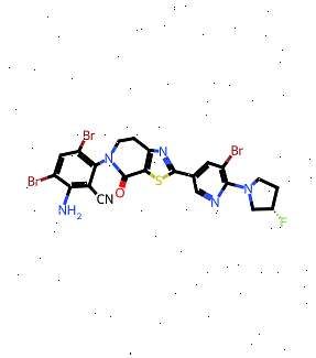 N#Cc1c(N)c(Br)cc(Br)c1N1CCc2nc(-c3cnc(N4CC[C@H](F)C4)c(Br)c3)sc2C1=O